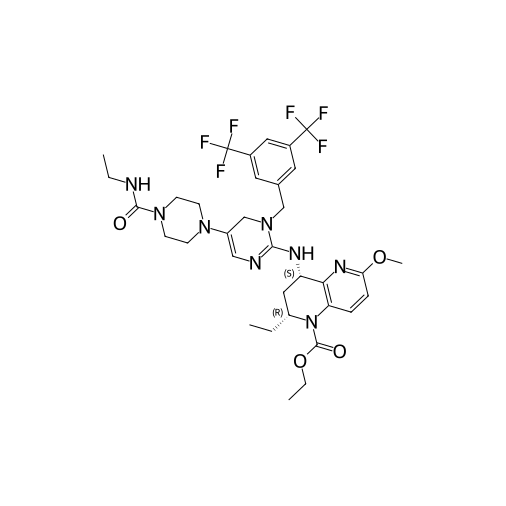 CCNC(=O)N1CCN(C2=CN=C(N[C@H]3C[C@@H](CC)N(C(=O)OCC)c4ccc(OC)nc43)N(Cc3cc(C(F)(F)F)cc(C(F)(F)F)c3)C2)CC1